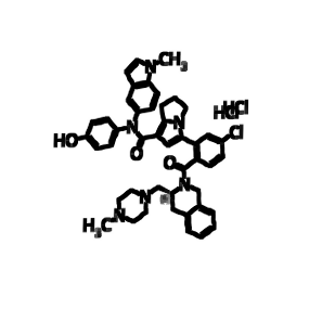 CN1CCN(C[C@@H]2Cc3ccccc3CN2C(=O)c2ccc(Cl)cc2-c2cc(C(=O)N(c3ccc(O)cc3)c3ccc4c(ccn4C)c3)c3n2CCC3)CC1.Cl.Cl